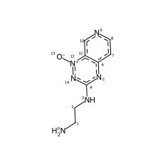 NCCNc1nc2ccncc2[n+]([O-])n1